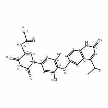 CC(C)c1cc(=O)[nH]c2ccc(Oc3c(Cl)cc(-n4nc(NC(=O)O)c(=O)[nH]c4=O)cc3Cl)cc12